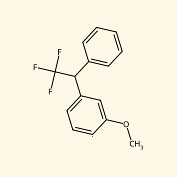 COc1[c]ccc(C(c2ccccc2)C(F)(F)F)c1